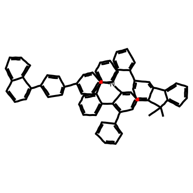 CC1(C)c2ccccc2-c2cc(-c3ccccc3N(c3ccc(-c4ccc(-c5cccc6ccccc56)cc4)cc3)c3cccc(-c4ccccc4)c3-c3ccccc3-c3ccccc3)ccc21